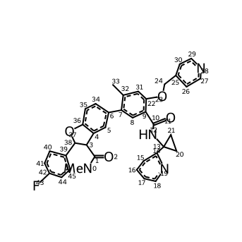 CNC(=O)C1c2cc(-c3cc(C(=O)NC4(c5ccccn5)CC4)c(OCc4ccncc4)cc3C)ccc2OC1c1ccc(F)cc1